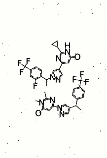 CC(c1ccc(C(F)(F)F)cc1F)n1cc(-c2cc(=O)[nH]c(C3CC3)n2)cn1.Cc1nc(-n2cc(C(C)c3ccc(C(F)(F)F)cc3)cn2)cc(=O)n1C